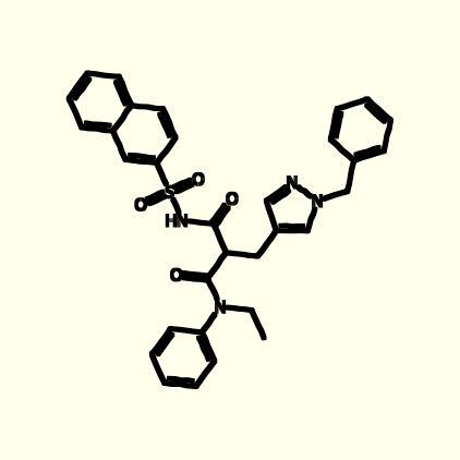 CCN(C(=O)C(Cc1cnn(Cc2ccccc2)c1)C(=O)NS(=O)(=O)c1ccc2ccccc2c1)c1ccccc1